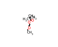 CCOC=COC(=O)C(C)(C)C